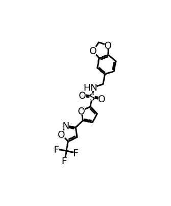 O=S(=O)(NCc1ccc2c(c1)OCO2)c1ccc(-c2cc(C(F)(F)F)on2)o1